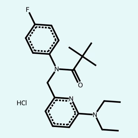 CCN(CC)c1cccc(CN(C(=O)C(C)(C)C)c2ccc(F)cc2)n1.Cl